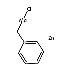 [Cl][Mg][CH2]c1ccccc1.[Zn]